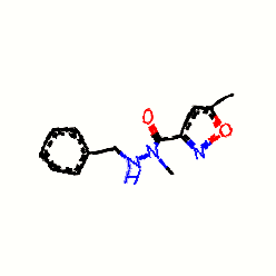 Cc1cc(C(=O)N(C)NCc2ccccc2)no1